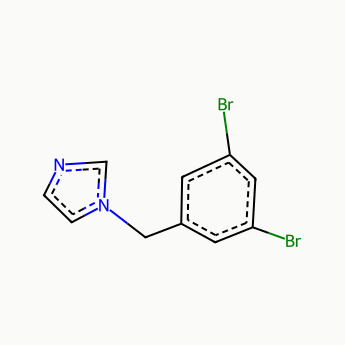 Brc1cc(Br)cc(Cn2ccnc2)c1